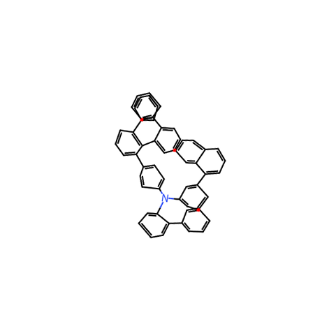 c1ccc(-c2ccccc2-c2c(-c3ccccc3)cccc2-c2ccc(N(c3cccc(-c4cccc5ccccc45)c3)c3ccccc3-c3ccccc3)cc2)cc1